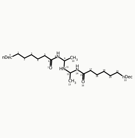 CCCCCCCCCCCCCCCC(=O)NC(C)NC(C)NC(=O)CCCCCCCCCCCCCCC